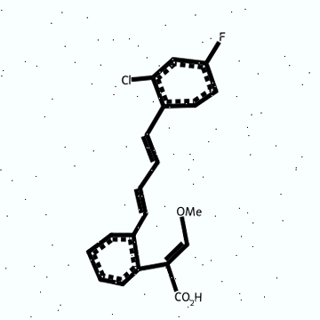 CO/C=C(/C(=O)O)c1ccccc1/C=C/C=C/c1ccc(F)cc1Cl